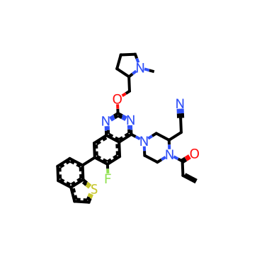 C=CC(=O)N1CCN(c2nc(OCC3CCCN3C)nc3cc(-c4cccc5ccsc45)c(F)cc23)CC1CC#N